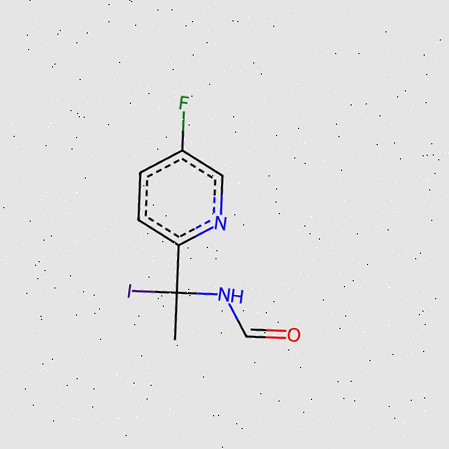 CC(I)(NC=O)c1ccc(F)cn1